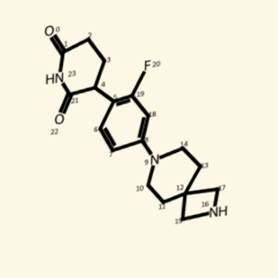 O=C1CCC(c2ccc(N3CCC4(CC3)CNC4)cc2F)C(=O)N1